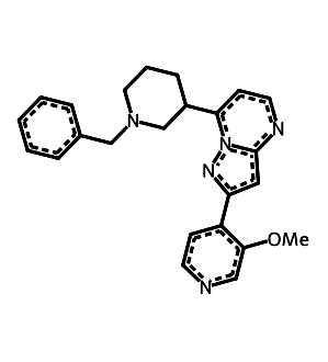 COc1cnccc1-c1cc2nccc(C3CCCN(Cc4ccccc4)C3)n2n1